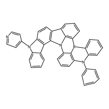 c1ccc(N2c3ccccc3B3c4c2cccc4-n2c4c3cccc4c3ccc4c(c5ccccc5n4-c4ccncc4)c32)cc1